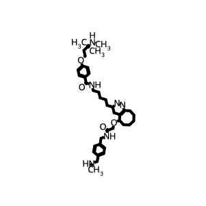 CNCc1ccc(CNC(=O)COC2CCCCCC3=C2CC(CCCCCNC(=O)c2ccc(OCCC(C)(C)NC)cc2)N=N3)cc1